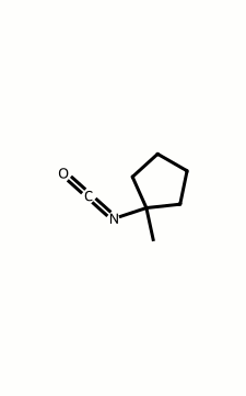 CC1(N=C=O)CCCC1